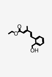 CCOC(=O)C=C(C)C=Cc1ccccc1CO